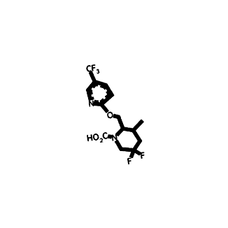 CC1CC(F)(F)CN(C(=O)O)C1COc1ccc(C(F)(F)F)cn1